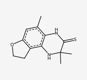 Cc1cc2c(c3c1NC(=S)C(C)(C)N3)CCO2